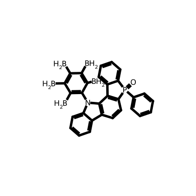 Bc1c(B)c(B)c(-n2c3ccccc3c3ccc4c(c32)-c2ccccc2P4(=O)c2ccccc2)c(B)c1B